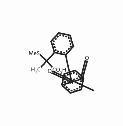 CSC(C)(C(=O)O)c1ccccc1-n1c(=O)c2ccc(cc2)c1=O